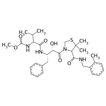 COC(=O)NC(C(=O)N[C@@H](Cc1ccccc1)[C@H](O)C(=O)N1CSC(C)(C)C1C(=O)NCc1ccccc1C)C(C)C